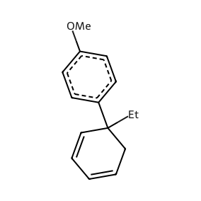 CCC1(c2ccc(OC)cc2)C=CC=CC1